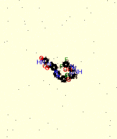 O=C1CCC(N2Cc3ccc(N4CCN(Cc5ccc(O[C@@H]6C[C@@H]7CNc8nnc(-c9cc(F)cc(F)c9O)cc8N7C6)c(Cl)c5)CC4)cc3C2=O)C(=O)N1